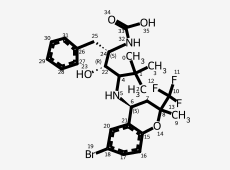 CC(C)(C)C(N[C@H]1CC(C)(C(F)(F)F)Oc2ccc(Br)cc21)[C@H](O)[C@H](Cc1ccccc1)NC(=O)O